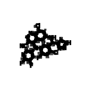 N#Cc1cnc2c(Cl)cc(NC(c3c[nH]nn3)c3ccc(F)cc3Cl)cc2c1Nc1cnc(F)c(F)c1